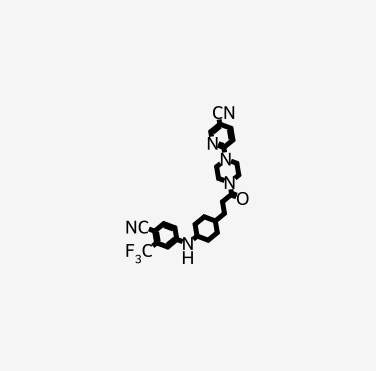 N#Cc1ccc(N2CCN(C(=O)CCC3CCC(Nc4ccc(C#N)c(C(F)(F)F)c4)CC3)CC2)nc1